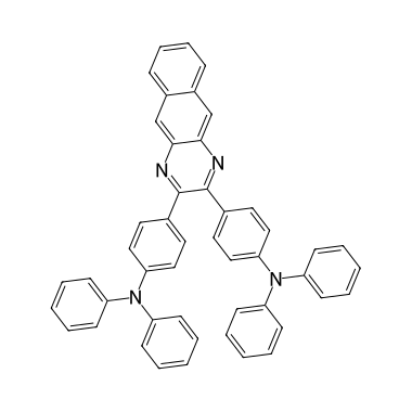 c1ccc(N(c2ccccc2)c2ccc(-c3nc4cc5ccccc5cc4nc3-c3ccc(N(c4ccccc4)c4ccccc4)cc3)cc2)cc1